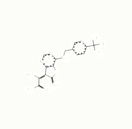 CC(=N)/C(C)=C1\C(=N)Oc2c(NCc3ccc(C(C)(C)O)nc3)ncnc21